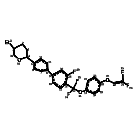 CCC1CCC(c2ccc(-c3ccc(C(F)(F)Oc4ccc(OC=C(F)F)cc4)c(F)c3)cc2)OC1